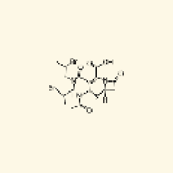 CC(=O)NC1S[C@H]2CC(=O)N2C(C(=O)O)=C1C(=O)N(CC(C)Br)CC(C)Br